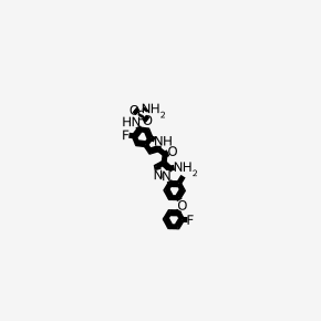 Cc1cc(Oc2ccccc2F)ccc1-n1ncc(C(=O)c2cc3cc(F)c(NS(N)(=O)=O)cc3[nH]2)c1N